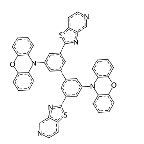 c1ccc2c(c1)Oc1ccccc1N2c1cc(-c2cc(-c3nc4cnccc4s3)cc(N3c4ccccc4Oc4ccccc43)c2)cc(-c2nc3cnccc3s2)c1